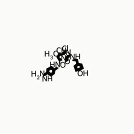 CC1(C)C[C@@H](C(=O)NCc2ccc(C(=N)N)cc2)n2c1c(Cl)nc(NCCc1ccc(O)cc1)c2=O